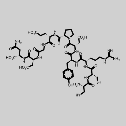 CC(C)C[C@H](N)C(=O)N[C@@H](CS)C(=O)N[C@@H](CCCNC(=N)N)C(=O)N[C@@H](Cc1ccc(O)cc1)C(=O)N[C@@H](CC(=O)O)C(=O)N1CCC[C@H]1C(=O)N[C@@H](CCC(=O)O)C(=O)NCC(=O)N[C@@H](CC(=O)O)C(=O)N[C@@H](CC(N)=O)C(=O)O